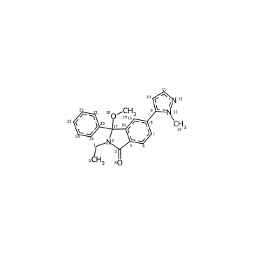 CCN1C(=O)c2ccc(-c3ccnn3C)cc2C1(OC)c1ccccc1